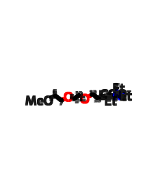 CC[N+](CC)(CC)CC.COCCOCCOCCC(=O)[O-]